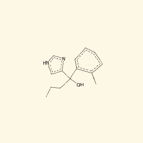 CCCC(O)(c1c[nH]cn1)c1ccccc1C